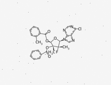 Cc1ccccc1C(=O)O[C@H]1O[C@@H](n2cnc3c(Cl)ncnc32)[C@](C)(F)[C@]1(C)OC(=O)c1ccccc1